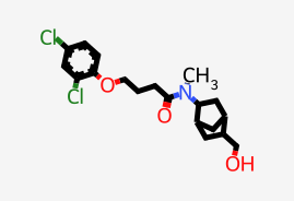 CN(C(=O)CCCOc1ccc(Cl)cc1Cl)C1CC2CC1CC2CO